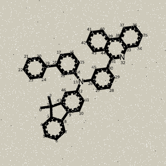 CC1(C)c2ccccc2-c2ccc(N(c3cccc(-c4ccccc4)c3)c3cccc(-c4nc5ccccc5c5ccccc45)c3)cc21